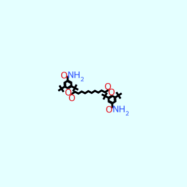 CC(C)(C)c1cc(C(N)=O)cc(C(C)(C)C)c1OC(=O)CCCCCCCCCCC(=O)Oc1c(C(C)(C)C)cc(C(N)=O)cc1C(C)(C)C